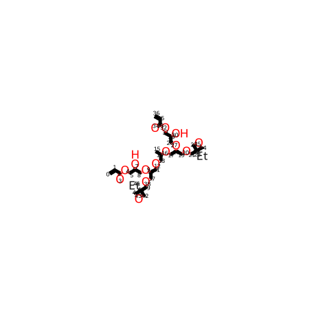 C=CC(=O)OCC(O)COC(COCC(C)OCC(COCC1(CC)COC1)OCC(O)COC(=O)C=C)COCC1(CC)COC1